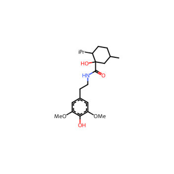 COc1cc(CCNC(=O)C2(O)CC(C)CCC2C(C)C)cc(OC)c1O